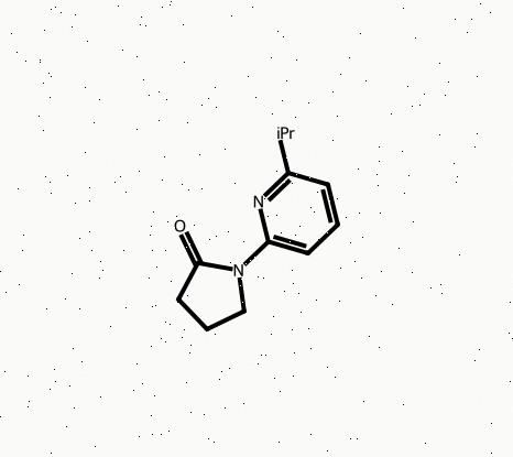 CC(C)c1cccc(N2CCCC2=O)n1